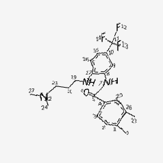 Cc1ccc(C(=O)Nc2cc(C(F)(F)F)ccc2NCCCN(C)C)cc1C